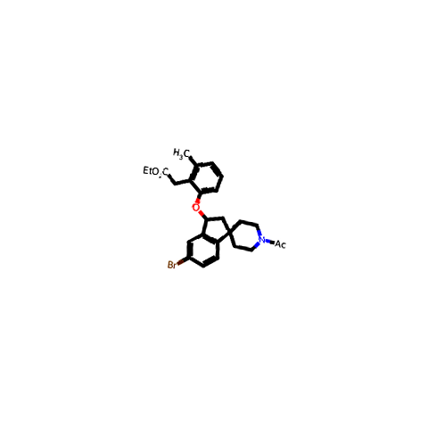 CCOC(=O)Cc1c(C)cccc1OC1CC2(CCN(C(C)=O)CC2)c2ccc(Br)cc21